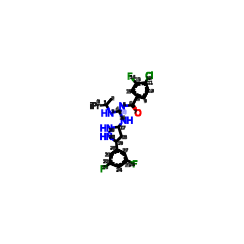 CC(C)C(C)N/C(=N/C(=O)c1ccc(Cl)c(F)c1)NC1CC(c2cc(F)cc(F)c2)NN1